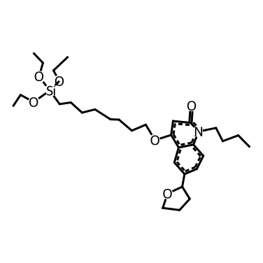 CCCCn1c(=O)cc(OCCCCCCCC[Si](OCC)(OCC)OCC)c2cc(C3CCCO3)ccc21